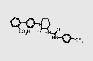 O=C(Nc1ccc(C(F)(F)F)cc1)NC1CCCN(c2ccc(-c3ccccc3C(=O)O)cc2)C1=O